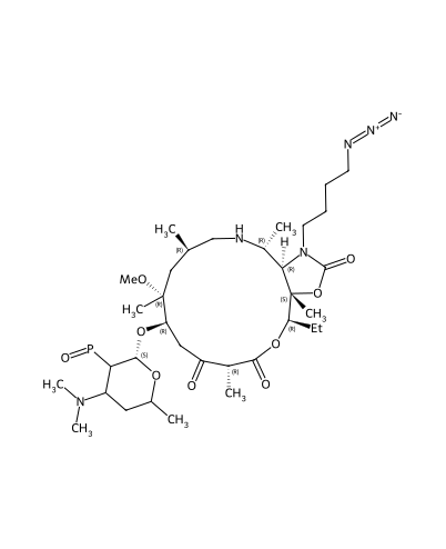 CC[C@H]1OC(=O)[C@H](C)C(=O)C[C@@H](O[C@@H]2OC(C)CC(N(C)C)C2P=O)[C@](C)(OC)C[C@@H](C)CN[C@H](C)[C@H]2N(CCCCN=[N+]=[N-])C(=O)O[C@]12C